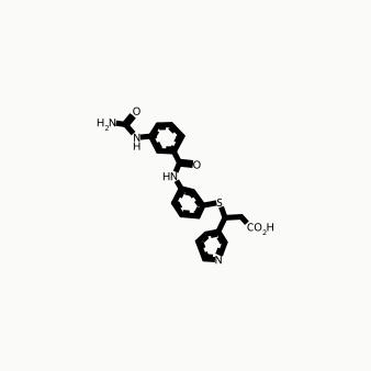 NC(=O)Nc1cccc(C(=O)Nc2cccc(SC(CC(=O)O)c3cccnc3)c2)c1